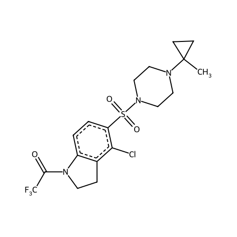 CC1(N2CCN(S(=O)(=O)c3ccc4c(c3Cl)CCN4C(=O)C(F)(F)F)CC2)CC1